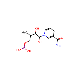 COC(COP(O)O)C(O)C(O)N1C=CCC(C(N)=O)=C1